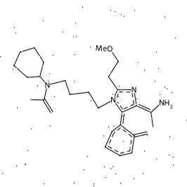 C=C(C)N(CCCCn1c(CCOC)nc(=C(/C)N)/c1=c1/ccccc1=C)C1CCCCC1